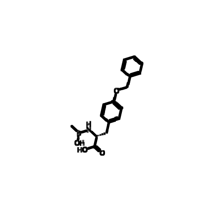 CB(O)N[C@H](Cc1ccc(OCc2ccccc2)cc1)C(=O)O